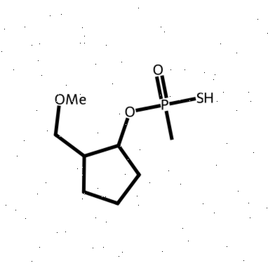 COCC1CCCC1OP(C)(=O)S